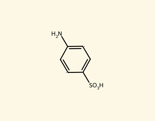 Nc1[c]cc(S(=O)(=O)O)[c]c1